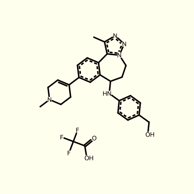 Cc1nnn2c1-c1ccc(C3=CCN(C)CC3)cc1C(Nc1ccc(CO)cc1)CC2.O=C(O)C(F)(F)F